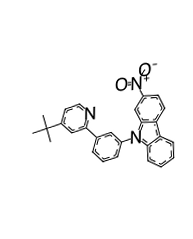 CC(C)(C)c1ccnc(-c2cccc(-n3c4ccccc4c4ccc([N+](=O)[O-])cc43)c2)c1